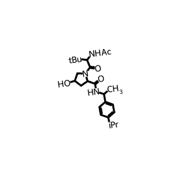 CC(=O)NC(C(=O)N1CC(O)CC1C(=O)NC(C)c1ccc(C(C)C)cc1)C(C)(C)C